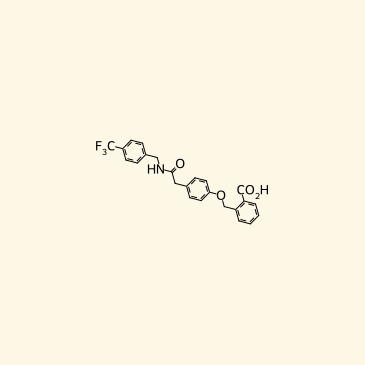 O=C(Cc1ccc(OCc2ccccc2C(=O)O)cc1)NCc1ccc(C(F)(F)F)cc1